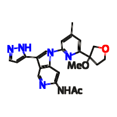 COC1(c2cc(C)cc(-n3cc(-c4ccn[nH]4)c4cnc(NC(C)=O)cc43)n2)CCOC1